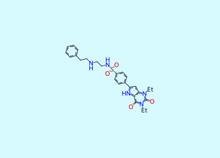 CCn1c(=O)c2[nH]c(-c3ccc(S(=O)(=O)NCCNCCc4ccccc4)cc3)cc2n(CC)c1=O